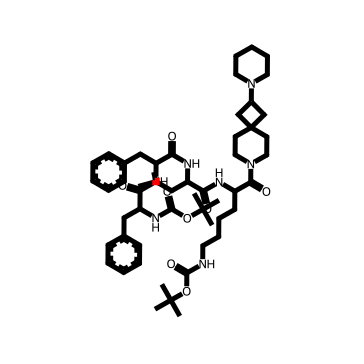 CC(C)CC(NC(=O)C(Cc1ccccc1)NC(=O)C(Cc1ccccc1)NC(=O)OC(C)(C)C)C(=O)NC(CCCCNC(=O)OC(C)(C)C)C(=O)N1CCC2(CC1)CC(N1CCCCC1)C2